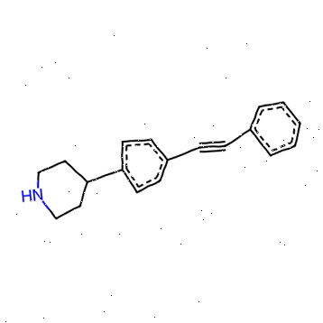 C(#Cc1ccc(C2CCNCC2)cc1)c1ccccc1